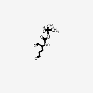 CC(C)(C)OC(=O)NC(C=O)CCC=O